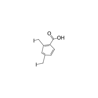 O=C(O)c1ccc(CI)cc1CI